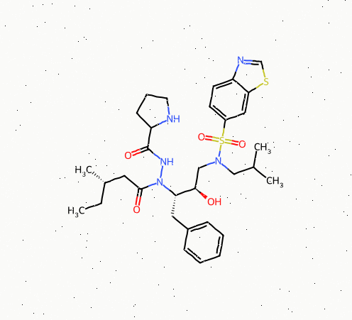 CC[C@H](C)CC(=O)N(NC(=O)C1CCCN1)[C@@H](Cc1ccccc1)[C@H](O)CN(CC(C)C)S(=O)(=O)c1ccc2ncsc2c1